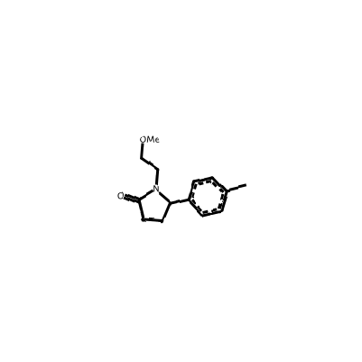 COCCN1C(=O)CCC1c1ccc(C)cc1